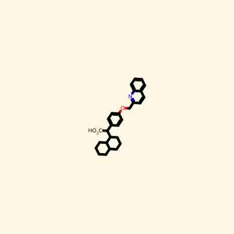 O=C(O)C(c1ccc(OCc2ccc3ccccc3n2)cc1)C1CCCC2CCCCC21